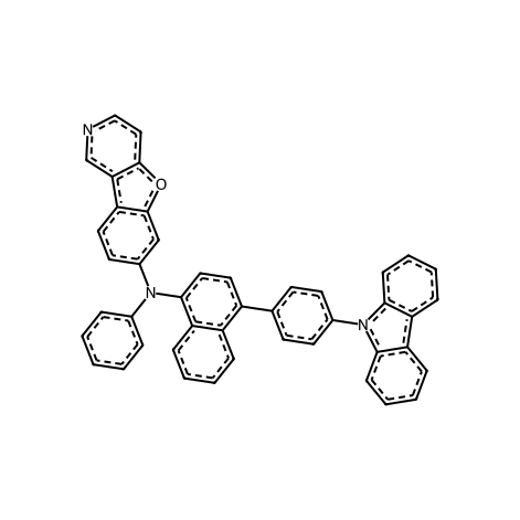 c1ccc(N(c2ccc3c(c2)oc2ccncc23)c2ccc(-c3ccc(-n4c5ccccc5c5ccccc54)cc3)c3ccccc23)cc1